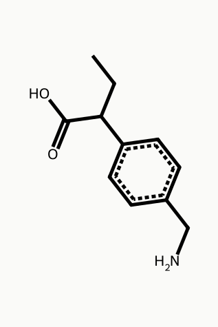 CCC(C(=O)O)c1ccc(CN)cc1